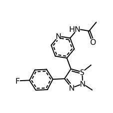 CC(=O)Nc1cc(C2=S(C)N(C)N=C2c2ccc(F)cc2)ccn1